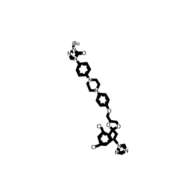 CCC(C)n1ncn(-c2ccc(N3CCN(c4ccc(OCC5COC(CCn6cncn6)(c6ccc(Cl)cc6Cl)O5)cc4)CC3)cc2)c1=O